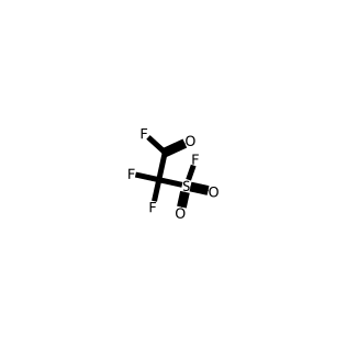 O=C(F)C(F)(F)S(=O)(=O)F